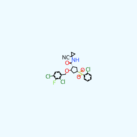 N#CC1(NC(=O)[C@@H]2C[C@@H](S(=O)(=O)c3ccccc3Cl)C[C@H]2OCc2ccc(Cl)c(F)c2Cl)CC1